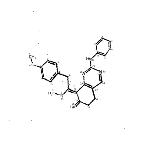 CN/C(Cc1ccc(OC)cc1)=C1\C(=N)CCc2cnc(Nc3ccccc3)nc21